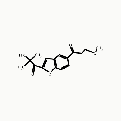 COCCC(=O)c1ccc2[nH]c(C(=O)C(C)(C)C)cc2c1